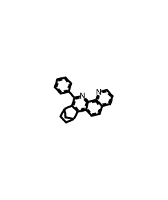 c1ccc(-c2nc3c(ccc4cccnc43)c3c2C2CCC3C2)cc1